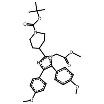 COC(=O)Cn1c(C2CCN(C(=O)OC(C)(C)C)CC2)nc(-c2ccc(OC)cc2)c1-c1ccc(OC)cc1